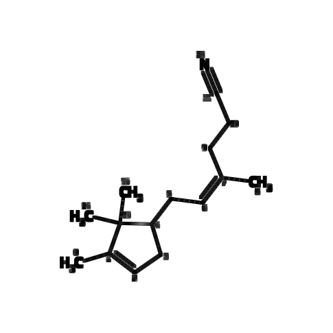 CC1=CCC(C/C=C(/C)CCC#N)C1(C)C